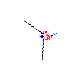 CCCCCCCCCCCCC/C=C/[C@@H](O)[C@H](COP(=O)([O-])OCC[N+](C)(C)C)NC(=O)CCCCCCCCCCCCCC